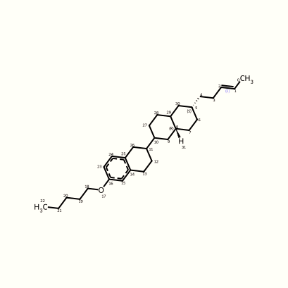 C/C=C/CC[C@@H]1CC[C@@H]2CC(C3CCc4cc(OCCCCC)ccc4C3)CCC2C1